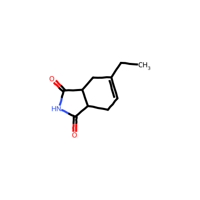 CCC1=CCC2C(=O)NC(=O)C2C1